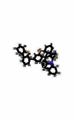 c1ccc2c(c1)Sc1cc(-c3cccc4c3sc3ccccc34)ccc1C21c2ccccc2-n2c3ccccc3c3cccc1c32